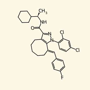 C[C@@H](NC(=O)c1nn(-c2ccc(Cl)cc2Cl)c2c1CCCCC/C2=C\c1ccc(F)cc1)C1CCCCC1